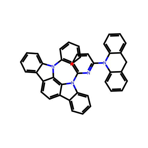 c1ccc(-n2c3ccccc3c3ccc4c5ccccc5n(-c5cccc(N6c7ccccc7Cc7ccccc76)n5)c4c32)cc1